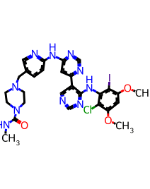 CNC(=O)N1CCN(Cc2ccc(Nc3cc(-c4cncnc4Nc4c(Cl)c(OC)cc(OC)c4I)ncn3)nc2)CC1